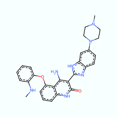 CNc1ccccc1Oc1cccc2[nH]c(=O)c(-c3nc4ccc(N5CCN(C)CC5)cc4[nH]3)c(N)c12